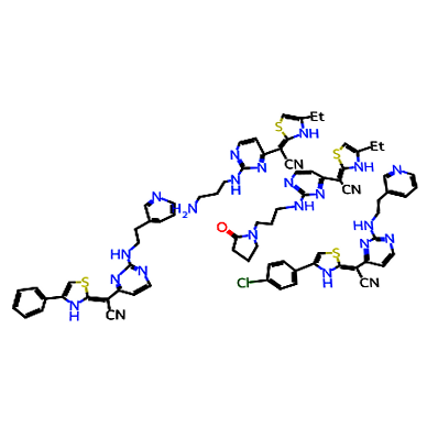 CCC1=CSC(=C(C#N)c2ccnc(NCCCN)n2)N1.CCC1=CSC(=C(C#N)c2ccnc(NCCCN3CCCC3=O)n2)N1.N#CC(=C1NC(c2ccc(Cl)cc2)=CS1)c1ccnc(NCCc2cccnc2)n1.N#CC(=C1NC(c2ccccc2)=CS1)c1ccnc(NCCc2cccnc2)n1